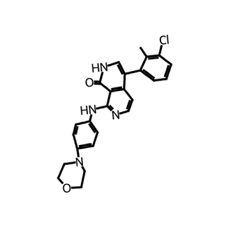 Cc1c(Cl)cccc1-c1c[nH]c(=O)c2c(Nc3ccc(N4CCOCC4)cc3)nccc12